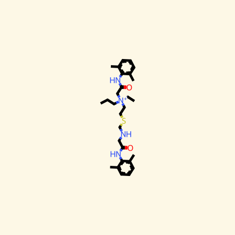 CCC[N+](CC)(CCSCNCC(=O)Nc1c(C)cccc1C)CC(=O)Nc1c(C)cccc1C